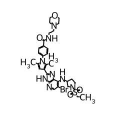 CCS(=O)(=O)N1CCC(Nc2c(Br)cnc3[nH]c(-c4cc(C)n(-c5ccc(C(=O)NCCN6CCOCC6)cc5)c4C)nc23)C1